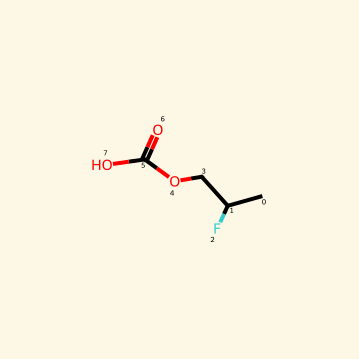 CC(F)COC(=O)O